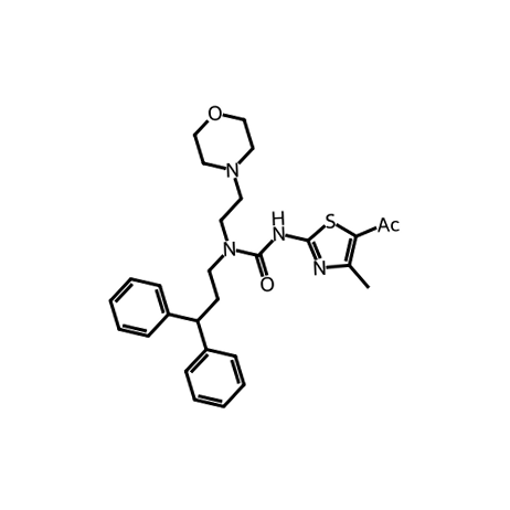 CC(=O)c1sc(NC(=O)N(CCC(c2ccccc2)c2ccccc2)CCN2CCOCC2)nc1C